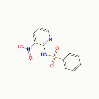 O=[N+]([O-])c1cccnc1NS(=O)(=O)c1ccccc1